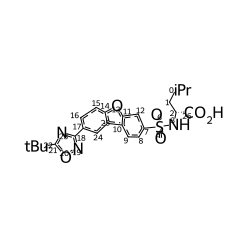 CC(C)C[C@@H](NS(=O)(=O)c1ccc2c(c1)oc1ccc(-c3noc(C(C)(C)C)n3)cc12)C(=O)O